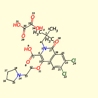 CC(C)(C)Cn1c(C(=O)O)c(OCCN2CCCC2)c2cc(Cl)c(Cl)cc2c1=O.O=C(O)C(=O)O